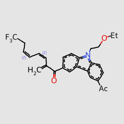 C=C(/C=C\C=C/CC(F)(F)F)C(=O)c1ccc2c(c1)c1cc(C(C)=O)ccc1n2CCOCC